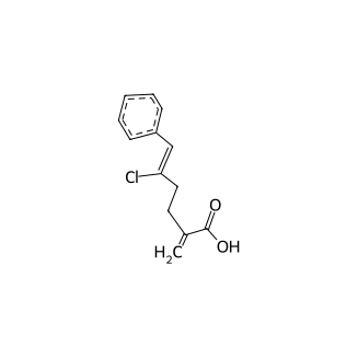 C=C(CCC(Cl)=Cc1ccccc1)C(=O)O